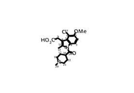 COc1ccc2c(c1Cl)c(CC(=O)O)c(C)n2C(=O)C1CCN(C)CC1